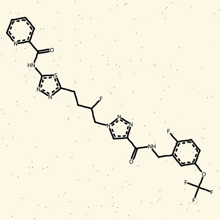 O=C(NCc1cc(OC(F)(F)F)ccc1F)c1cn(CC(F)CCc2nnc(NC(=O)c3ccccn3)s2)nn1